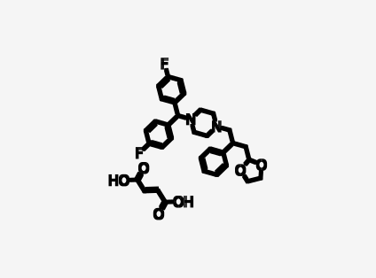 Fc1ccc(C(c2ccc(F)cc2)N2CCN(CC(CC3OCCO3)c3ccccc3)CC2)cc1.O=C(O)C=CC(=O)O